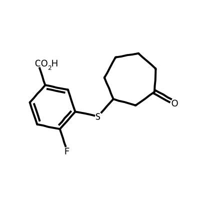 O=C1CCCCC(Sc2cc(C(=O)O)ccc2F)C1